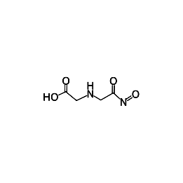 O=NC(=O)CNCC(=O)O